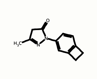 CC1=NN(c2ccc3c(c2)CC3)C(=O)C1